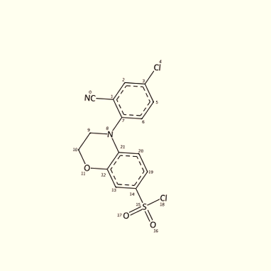 N#Cc1cc(Cl)ccc1N1CCOc2cc(S(=O)(=O)Cl)ccc21